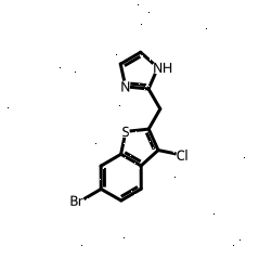 Clc1c(Cc2ncc[nH]2)sc2cc(Br)ccc12